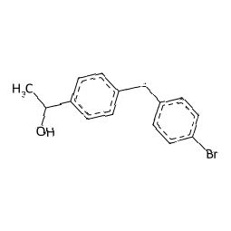 CC(O)c1ccc([CH]c2ccc(Br)cc2)cc1